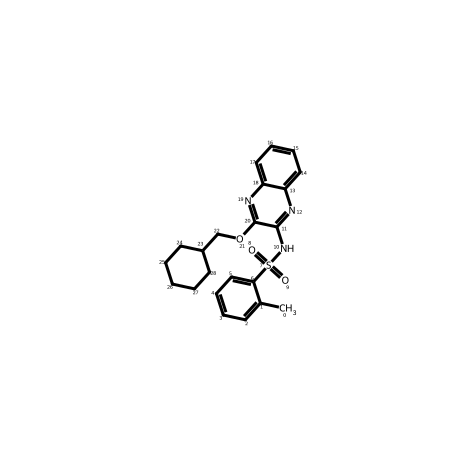 Cc1ccccc1S(=O)(=O)Nc1nc2ccccc2nc1OCC1CCCCC1